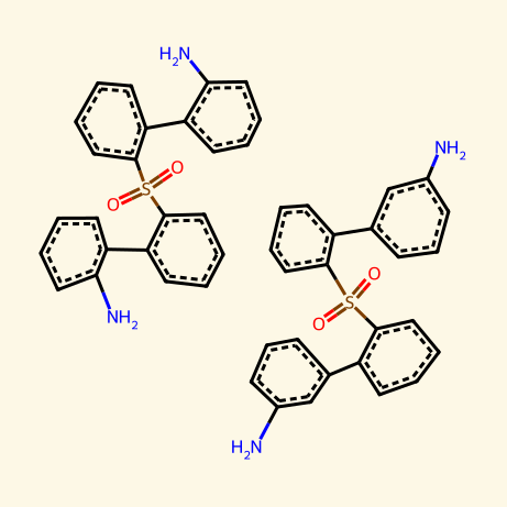 Nc1cccc(-c2ccccc2S(=O)(=O)c2ccccc2-c2cccc(N)c2)c1.Nc1ccccc1-c1ccccc1S(=O)(=O)c1ccccc1-c1ccccc1N